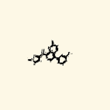 Cc1ccc2c(-c3cccc(F)c3)cnc(Nc3ccn(C)n3)c2n1